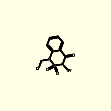 CC(C)N1C(=O)c2ccccc2N(CCl)S1(=O)=O